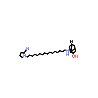 N#CC1CCCN1CCCCCCCCCCCCCCCCNC12CC3C[C@H](CC(O)(C3)C1)C2